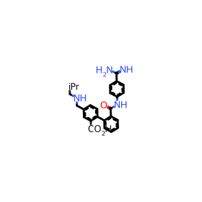 CC(C)CNCc1ccc(-c2ccccc2C(=O)Nc2ccc(C(=N)N)cc2)c(C(=O)O)c1